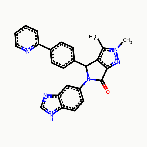 Cc1c2c(nn1C)C(=O)N(c1ccc3[nH]cnc3c1)C2c1ccc(-c2ccccn2)cc1